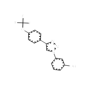 Oc1cccc(-n2cc(-c3ccc(OC(F)(F)F)cc3)nn2)c1